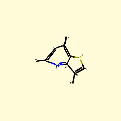 Cc1cc(C)c2scc(C)c2n1